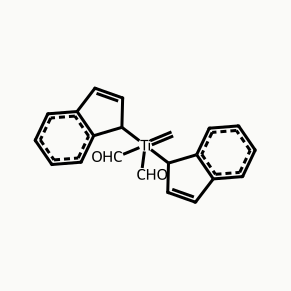 [CH2]=[Ti]([CH]=O)([CH]=O)([CH]1C=Cc2ccccc21)[CH]1C=Cc2ccccc21